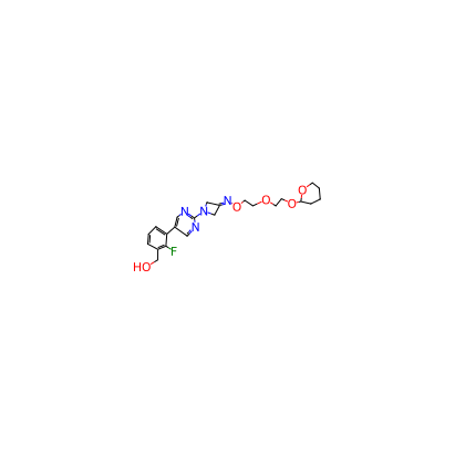 OCc1cccc(-c2cnc(N3CC(=NOCCOCCOC4CCCCO4)C3)nc2)c1F